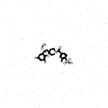 Cc1cc(C(=O)N2CCC3(CC2)C[C@@H](OC(C)C)c2cc(F)cc(F)c2O3)ccc1S(=O)(=O)C(C)C